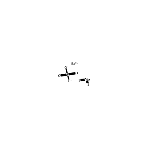 O=S(=O)([O-])[O-].[Ba+2].[S]=[Mo]=[S]